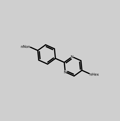 CCCCCCCCCc1ccc(-c2ncc(CCCCCC)cn2)cc1